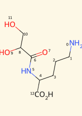 NCCCC(NC(=O)C(O)CO)C(=O)O